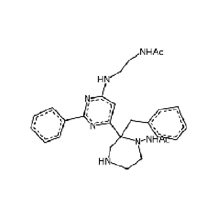 CC(=O)NCCNc1cc(C2(Cc3ccccc3)CNCCN2NC(C)=O)nc(-c2ccccc2)n1